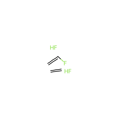 C=C.C=CF.F.F